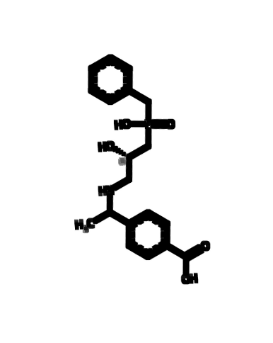 CC(NC[C@H](O)CP(=O)(O)Cc1ccccc1)c1ccc(C(=O)O)cc1